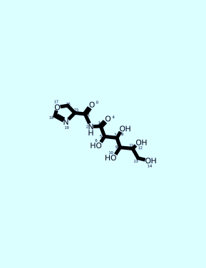 O=C(NC(=O)C(O)C(O)C(O)C(O)CO)C1COC=N1